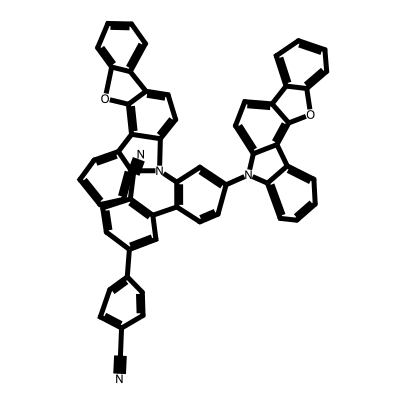 N#Cc1ccc(-c2ccc(C#N)c(-c3ccc(-n4c5ccccc5c5c6oc7ccccc7c6ccc54)cc3-n3c4ccccc4c4c5oc6ccccc6c5ccc43)c2)cc1